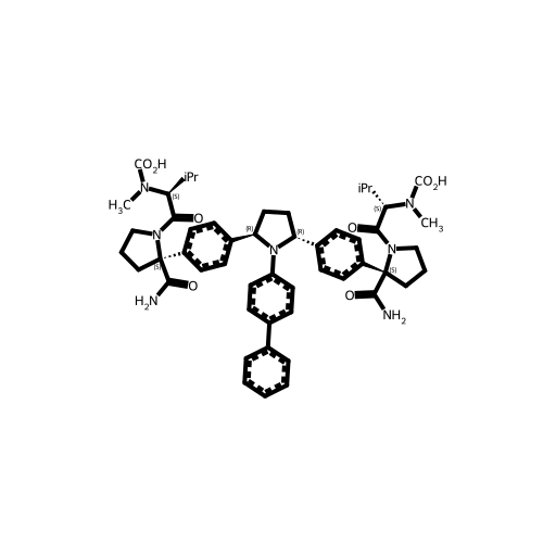 CC(C)[C@@H](C(=O)N1CCC[C@@]1(C(N)=O)c1ccc([C@H]2CC[C@H](c3ccc([C@]4(C(N)=O)CCCN4C(=O)[C@H](C(C)C)N(C)C(=O)O)cc3)N2c2ccc(-c3ccccc3)cc2)cc1)N(C)C(=O)O